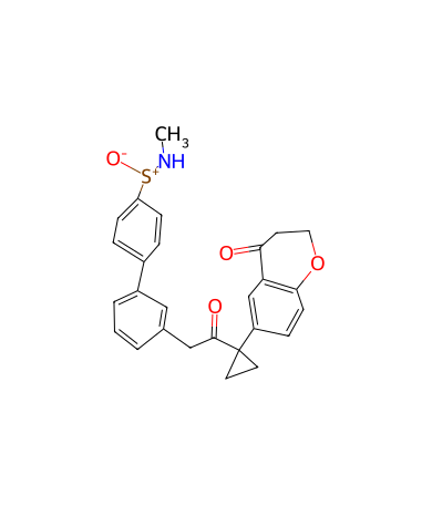 CN[S+]([O-])c1ccc(-c2cccc(CC(=O)C3(c4ccc5c(c4)C(=O)CCO5)CC3)c2)cc1